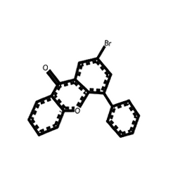 O=c1c2ccccc2oc2c(-c3ccccc3)cc(Br)cc12